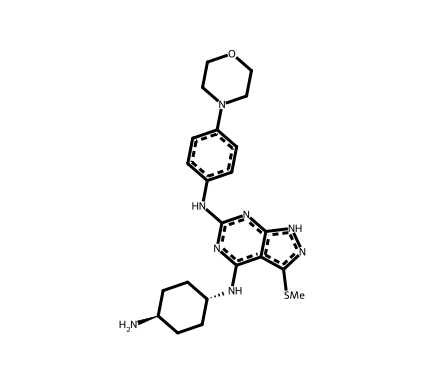 CSc1n[nH]c2nc(Nc3ccc(N4CCOCC4)cc3)nc(N[C@H]3CC[C@H](N)CC3)c12